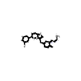 C=c1ccc(Cc2cnc3ccc(-c4cccc(Cl)c4)nn23)c/c1=C/C=C\N